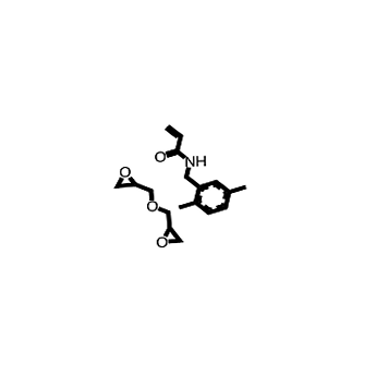 C(OCC1CO1)C1CO1.C=CC(=O)NCc1cc(C)ccc1C